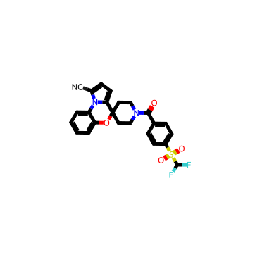 N#Cc1ccc2n1-c1ccccc1OC21CCN(C(=O)c2ccc(S(=O)(=O)C(F)F)cc2)CC1